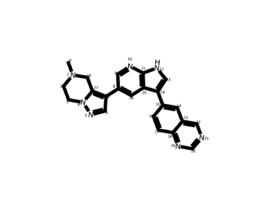 CN1CCn2ncc(-c3cnc4[nH]cc(-c5ccc6ncncc6c5)c4c3)c2C1